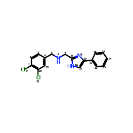 Clc1ccc(CNCc2nc(-c3ccccc3)c[nH]2)cc1Cl